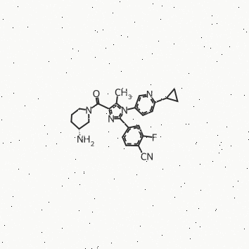 Cc1c(C(=O)N2CCC[C@@H](N)C2)nc(-c2ccc(C#N)c(F)c2)n1-c1ccc(C2CC2)nc1